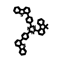 CC1(C)c2ccccc2-c2c(-c3nc(-c4ccc(-c5cccc6c5sc5ccccc56)cc4)nc(-c4ccc(-c5cccc6c5sc5ccccc56)cc4)n3)cccc21